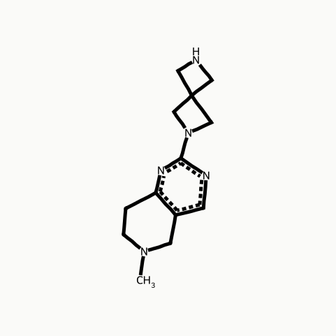 CN1CCc2nc(N3CC4(CNC4)C3)ncc2C1